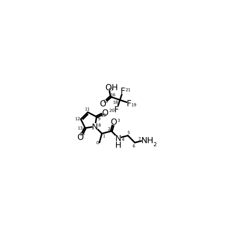 CC(C(=O)NCCN)N1C(=O)C=CC1=O.O=C(O)C(F)(F)F